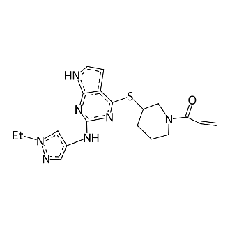 C=CC(=O)N1CCCC(Sc2nc(Nc3cnn(CC)c3)nc3[nH]ccc23)C1